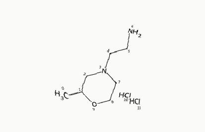 CC1CN(CCN)CCO1.Cl.Cl